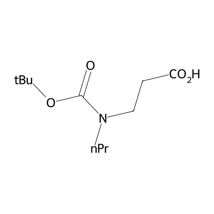 CCCN(CCC(=O)O)C(=O)OC(C)(C)C